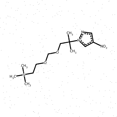 CC(C)(COCOCC[Si](C)(C)C)n1cc([N+](=O)[O-])cn1